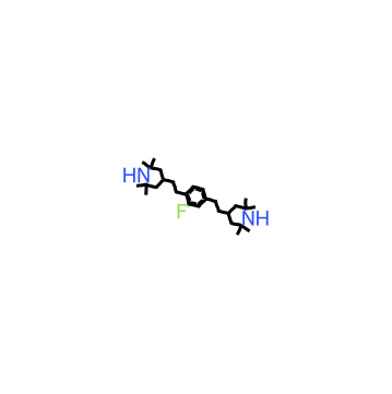 CC1(C)CC(CCc2ccc(CCC3CC(C)(C)NC(C)(C)C3)c(F)c2)CC(C)(C)N1